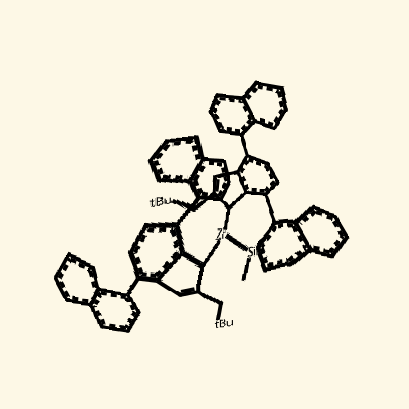 C[SiH](C)[Zr]([CH]1C(CC(C)(C)C)=Cc2c(-c3cccc4ccccc34)ccc(-c3cccc4ccccc34)c21)[CH]1C(CC(C)(C)C)=Cc2c(-c3cccc4ccccc34)ccc(-c3cccc4ccccc34)c21